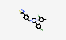 Cc1ccc(N2CCN(Cc3ccc(-c4csnn4)cc3)C[C@@H]2c2ccc(Cl)cc2)c(Cl)c1